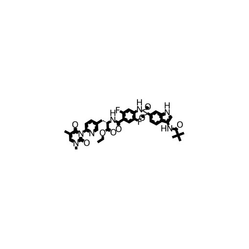 CCOC(=O)[C@H](Cc1ccc(-n2c(=O)c(C)cn(C)c2=O)nc1)NC(=O)c1cc(F)c(NS(=O)(=O)c2ccc3c(NC(=O)C(C)(C)C)c[nH]c3c2)cc1F